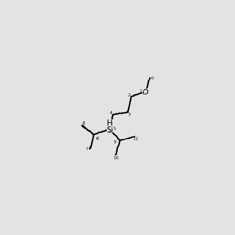 COCCC[SiH](C(C)C)C(C)C